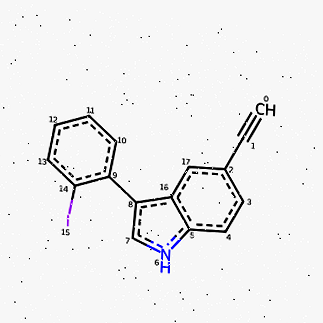 C#Cc1ccc2[nH]cc(-c3ccccc3I)c2c1